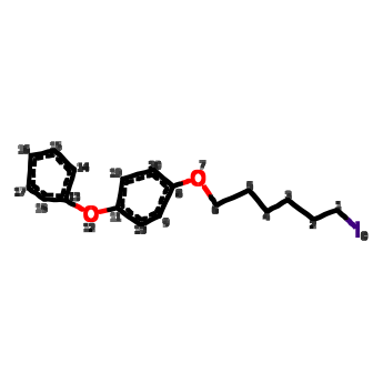 ICCCCCCOc1ccc(Oc2ccccc2)cc1